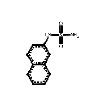 NS(=O)(=O)Nc1ccc2ccccc2c1